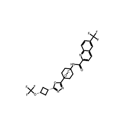 O=C(NC12CCC(c3nnc([C@H]4C[C@@H](OC(F)(F)F)C4)o3)(CC1)OC2)c1ccc2cc(C(F)(F)F)ccc2n1